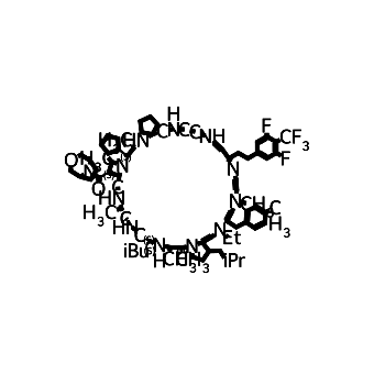 CC[C@H](C)[C@H]1CNCC(C)NCC2[C@@H](C(=O)N3C4CCC3COC4)C(C)N2[C@@H](C2CCCC2)C(C)NC2(CCCC2)CNCCNC=CC(CCc2cc(F)c(C(F)(F)F)c(F)c2)=NC=CN(C)C=C(Cc2ccc(C)cc2)N(CC)C=C2C(CC(C)C)CCN2[C@@H](C)C(C)N1